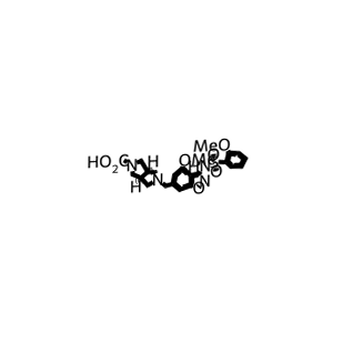 COc1ccccc1S(=O)(=O)Nc1noc2cc(CN3C[C@@H]4CN(C(=O)O)C[C@@H]4C3)cc(OC)c12